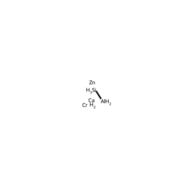 [AlH2][SiH3].[CaH2].[Cr].[Zn]